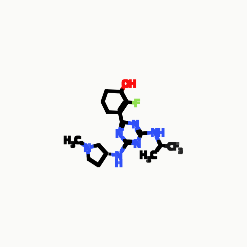 C[C@@H](Nc1nc(N[C@@H]2CCN(C)C2)nc(C2=C(F)C(O)CCC2)n1)C(F)(F)F